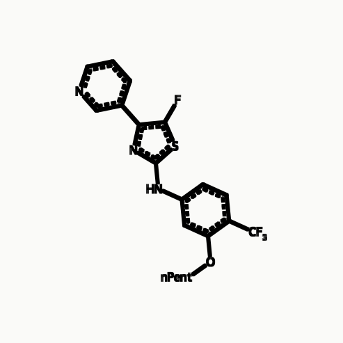 CCCCCOc1cc(Nc2nc(-c3cccnc3)c(F)s2)ccc1C(F)(F)F